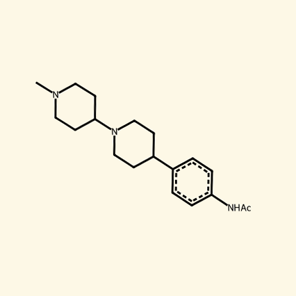 CC(=O)Nc1ccc(C2CCN(C3CCN(C)CC3)CC2)cc1